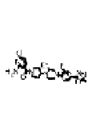 CC[C@H]1CN(c2ncc(-c3nnc(C)o3)nc2F)CCN1C1CCN(C(=O)c2ccc(Cl)nc2N)CC1